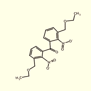 CCOCc1cccc(C(=O)c2cccc(COCC)c2[N+](=O)[O-])c1[N+](=O)[O-]